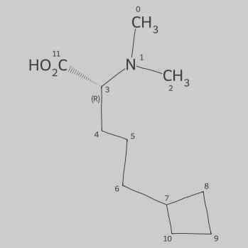 CN(C)[C@H](CCCC1CCC1)C(=O)O